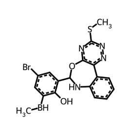 CBc1cc(Br)cc(C2Nc3ccccc3-c3nnc(SC)nc3O2)c1O